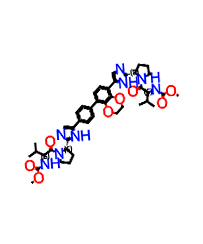 COC(=O)N[C@H](C(=O)N1CCC[C@H]1c1ncc(-c2ccc(-c3ccc(-c4cnc([C@@H]5CCCN5C(=O)[C@@H](NC(=O)OC)C(C)C)[nH]4)c4c3OCCO4)cc2)[nH]1)C(C)C